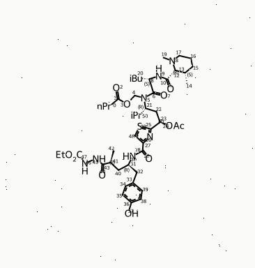 CCCC(=O)OCN(C(=O)[C@@H](NC(=O)[C@H]1[C@@H](C)CCCN1C)C(C)CC)[C@H](C[C@@H](OC(C)=O)c1nc(C(=O)N[C@@H](Cc2ccc(O)cc2)C[C@H](C)C(=O)NNC(=O)OCC)cs1)C(C)C